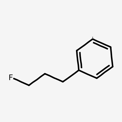 FCCCc1c[c]ccc1